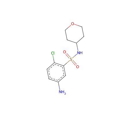 Nc1ccc(Cl)c(S(=O)(=O)NC2CCOCC2)c1